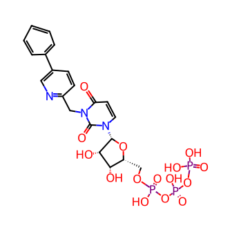 O=c1ccn([C@@H]2O[C@H](COP(=O)(O)OP(=O)(O)OP(=O)(O)O)[C@H](O)[C@@H]2O)c(=O)n1Cc1ccc(-c2ccccc2)cn1